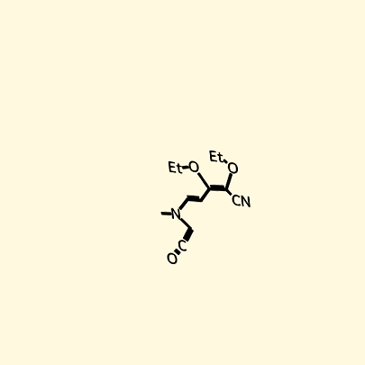 CCOC(C#N)=C(C=CN(C)C=C=O)OCC